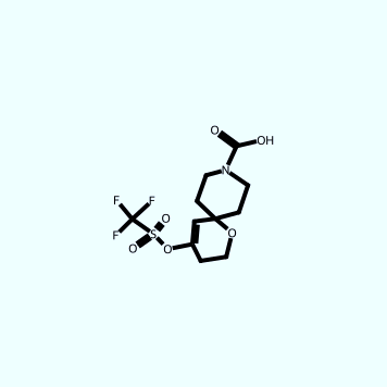 O=C(O)N1CCC2(C=C(OS(=O)(=O)C(F)(F)F)CCO2)CC1